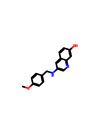 COc1ccc(CNc2cnc3cc(O)ccc3c2)cc1